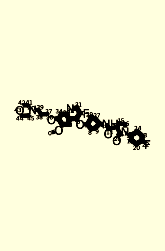 COc1cc2c(Oc3ccc(NC(=O)C4CCN(c5ccc(F)cc5)C4=O)cc3F)ccnc2cc1OCCCN1CCOCC1